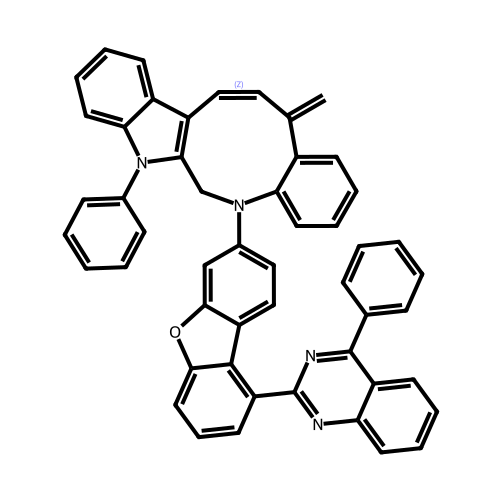 C=C1/C=C\c2c(n(-c3ccccc3)c3ccccc23)CN(c2ccc3c(c2)oc2cccc(-c4nc(-c5ccccc5)c5ccccc5n4)c23)c2ccccc21